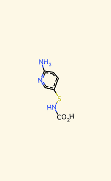 Nc1ccc(SNC(=O)O)cn1